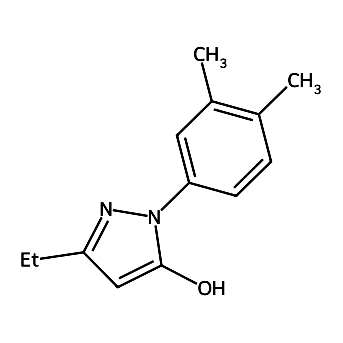 CCc1cc(O)n(-c2ccc(C)c(C)c2)n1